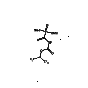 COP(=O)(OC)C(=O)NC(=O)OC(C(F)(F)F)C(F)(F)F